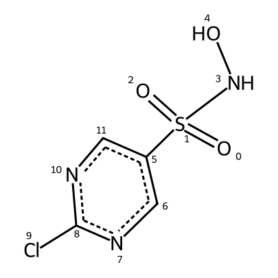 O=S(=O)(NO)c1cnc(Cl)nc1